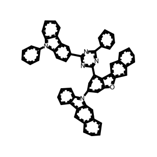 c1ccc(-c2nc(-c3ccc4c(c3)c3ccccc3n4-c3ccccc3)nc(-c3cc(-n4c5ccccc5c5cc6ccccc6cc54)cc4oc5cc6ccccc6cc5c34)n2)cc1